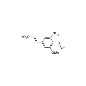 COc1cc(C=CC(=O)O)cc([N+](=O)[O-])c1OC(C)C